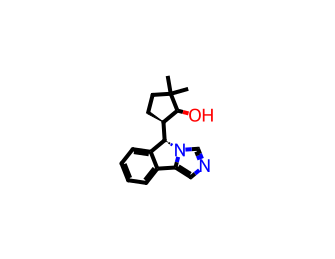 CC1(C)CC[C@H]([C@H]2c3ccccc3-c3cncn32)C1O